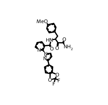 COc1ccc(CC(NC(=O)c2cccnc2-n2ccc(-c3ccc4c(c3)OC(F)(F)O4)n2)C(=O)C(N)=O)cc1